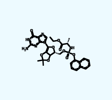 CCOC(=O)[C@H](C)NP(=O)(OC[C@H]1OC(n2cnc3c(=O)[nH]c(N)nc32)=C2OC(C)(C)OC21)Oc1cccc2ccccc12